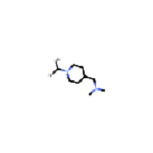 CCCC(CC)N1CCC(CN(C)C)CC1